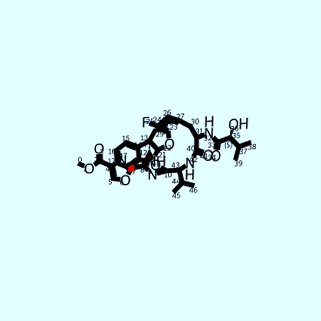 COC(=O)c1coc(-c2nc3oc2[C@@]24c5ccccc5NC2Oc2c(F)cc(cc24)CC(NC(=O)[C@@H](O)C(C)C)C(=O)NC3C(C)C)n1